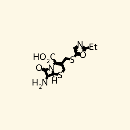 CCc1ncc(SCC2=C(C(=O)O)N3C(=O)C(N)[C@@H]3SC2)o1